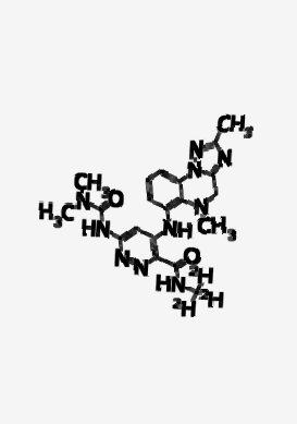 [2H]C([2H])([2H])NC(=O)c1nnc(NC(=O)N(C)C)cc1Nc1cccc2c1N(C)Cc1nc(C)nn1-2